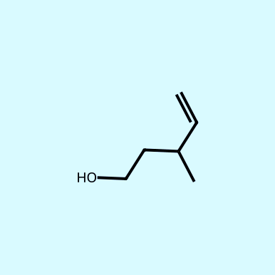 C=CC(C)CCO